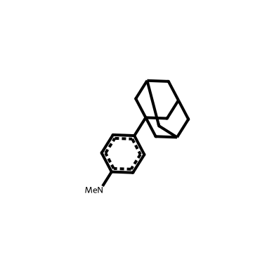 CNc1ccc(C23CC4CC(CC(C4)C2)C3)cc1